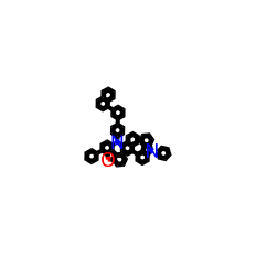 c1ccc(-c2ccc(N(c3ccc(-c4cccc(-c5cccc6ccccc56)c4)cc3)c3ccc(-c4cccc5c4c4ccccc4n5-c4ccccc4)c4ccccc34)c3c2oc2ccccc23)cc1